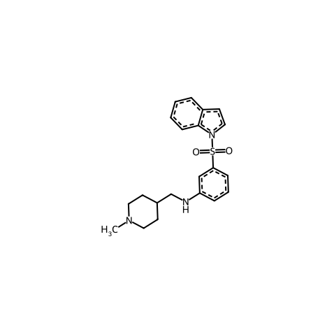 CN1CCC(CNc2cccc(S(=O)(=O)n3ccc4ccccc43)c2)CC1